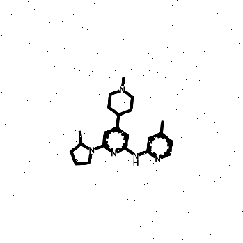 Cc1ccnc(Nc2cc(C3CCN(C)CC3)cc(N3CCCC3C)n2)c1